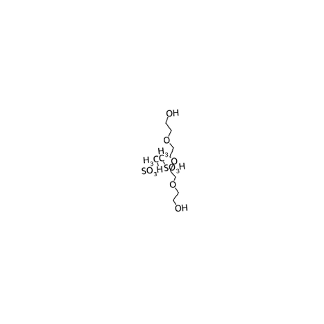 CS(=O)(=O)O.CS(=O)(=O)O.OCCOCCOCCOCCO